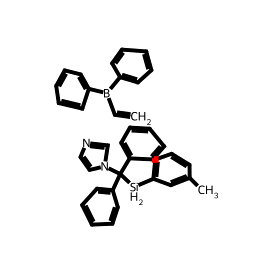 C=CB(c1ccccc1)c1ccccc1.Cc1cccc([SiH2]C(c2ccccc2)(c2ccccc2)n2ccnc2)c1